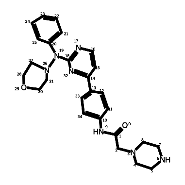 O=C(CN1CCNCC1)Nc1ccc(-c2ccnc(N(c3ccccc3)N3CCOCC3)n2)cc1